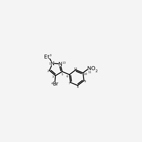 CCn1cc(Br)c(-c2cccc([N+](=O)[O-])c2)n1